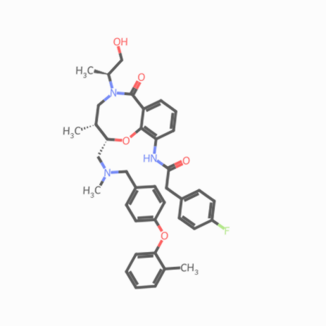 Cc1ccccc1Oc1ccc(CN(C)C[C@H]2Oc3c(NC(=O)Cc4ccc(F)cc4)cccc3C(=O)N([C@@H](C)CO)C[C@H]2C)cc1